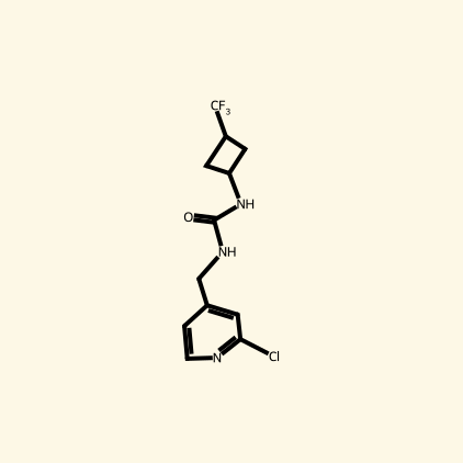 O=C(NCc1ccnc(Cl)c1)NC1CC(C(F)(F)F)C1